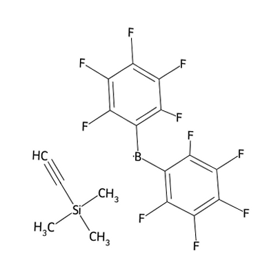 C#C[Si](C)(C)C.Fc1c(F)c(F)c([B]c2c(F)c(F)c(F)c(F)c2F)c(F)c1F